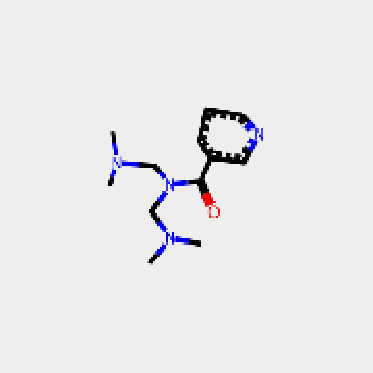 CN(C)CN(CN(C)C)C(=O)c1cccnc1